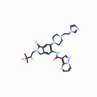 CC(C)(O)[C@H](F)CN1Cc2cc(NC(=O)c3cnn4cccnc34)c(N3CCN(CCn4ccnc4)CC3)cc2C1=O